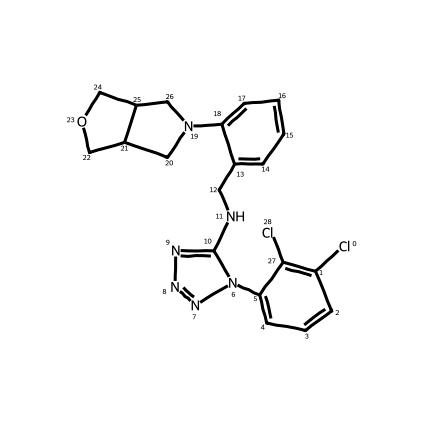 Clc1cccc(-n2nnnc2NCc2ccccc2N2CC3COCC3C2)c1Cl